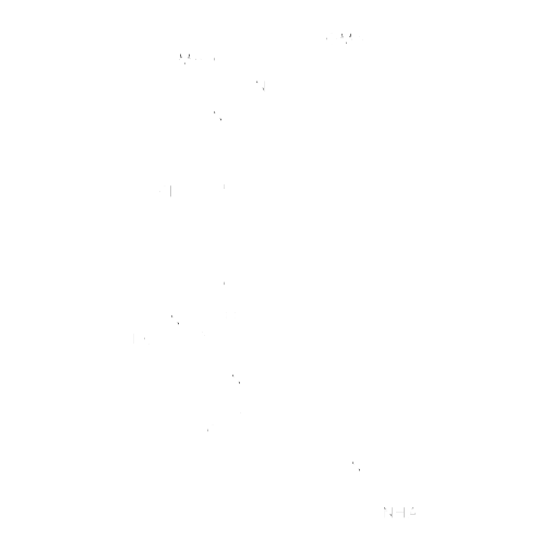 COCCn1c(OC)nc2c(OCc3c(Cl)ccc(N(C)C(=O)CNC(=O)/C=C/c4ccc(NC(C)=O)nc4)c3Cl)cccc21